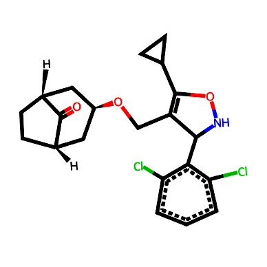 O=C1[C@@H]2CC[C@H]1C[C@H](OCC1=C(C3CC3)ONC1c1c(Cl)cccc1Cl)C2